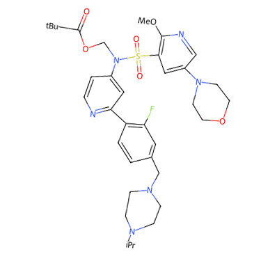 COc1ncc(N2CCOCC2)cc1S(=O)(=O)N(COC(=O)C(C)(C)C)c1ccnc(-c2ccc(CN3CCN(C(C)C)CC3)cc2F)c1